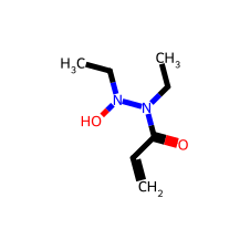 C=CC(=O)N(CC)N(O)CC